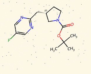 CC(C)(C)OC(=O)N1CC[C@@H](Cc2ncc(F)cn2)C1